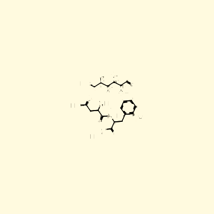 COC(=O)C(Cc1ccccc1)NC(=O)C(N)CC(=O)O.O.O=C[C@H](O)[C@@H](O)[C@H](O)[C@H](O)CO